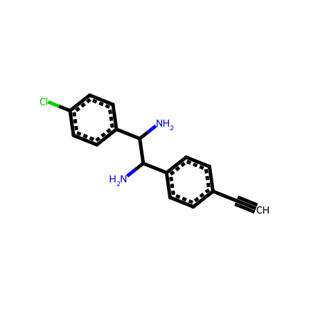 C#Cc1ccc(C(N)C(N)c2ccc(Cl)cc2)cc1